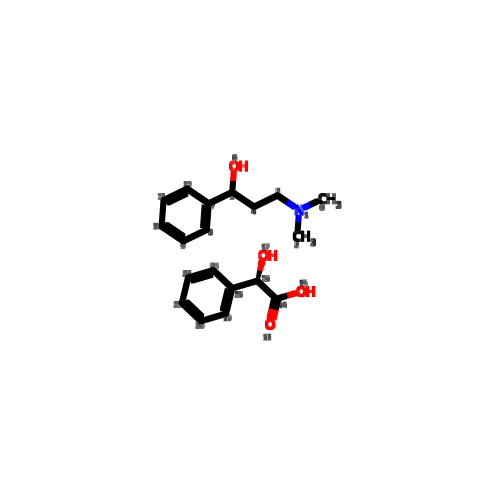 CN(C)CCC(O)c1ccccc1.O=C(O)[C@H](O)c1ccccc1